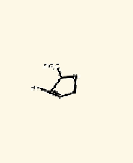 CCCC1=CCNC1C(=O)OCC